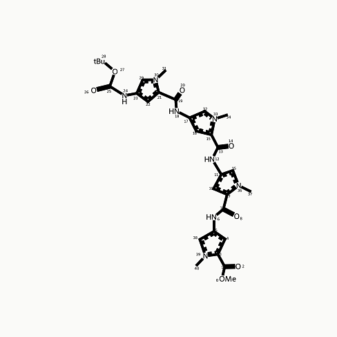 COC(=O)c1cc(NC(=O)c2cc(NC(=O)c3cc(NC(=O)c4cc(NC(=O)OC(C)(C)C)cn4C)cn3C)cn2C)cn1C